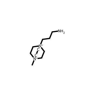 C[N+]12CC[N+](CCCN)(CC1)CC2